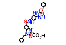 CN1c2cc(C(=O)NCc3ccc(C(=N)NC(=O)OCc4ccccc4)cc3)ccc2CN(CCc2ccccc2)C(=O)[C@H]1CC(=O)O